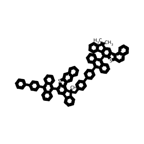 CC1(C)c2ccccc2-c2c1cc1c(sc3ccc4ccccc4c31)c2-c1c2ccccc2c(-c2ccc(-c3ccc(CC4(C)c5ccccc5-c5cc(-c6c7ccccc7c(-c7ccc(-c8ccccc8)cc7)c7ccccc67)c6sc7cc8ccccc8cc7c6c54)cc3)cc2)c2ccccc12